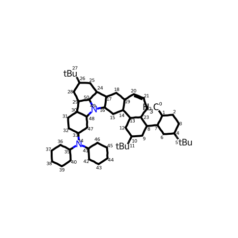 CC1CCC(C(C)(C)C)CC1C1CC(C(C)(C)C)CC2C3CC4C(CC3C=CCC12)C1CC(C(C)(C)C)CC2C3CCC(N(C5CCCCC5)C5CCCCC5)CC3N4C12